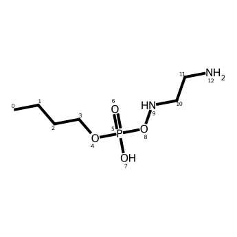 CCCCOP(=O)(O)ONCCN